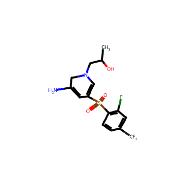 CC(O)CN1C=C(S(=O)(=O)c2ccc(C(F)(F)F)cc2F)C=C(N)C1